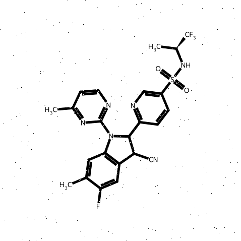 Cc1ccnc(N2c3cc(C)c(F)cc3C(C#N)C2c2ccc(S(=O)(=O)N[C@@H](C)C(F)(F)F)cn2)n1